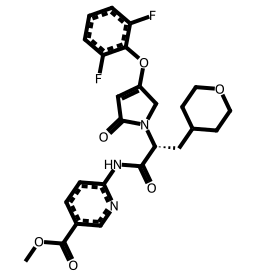 COC(=O)c1ccc(NC(=O)[C@@H](CC2CCOCC2)N2CC(Oc3c(F)cccc3F)=CC2=O)nc1